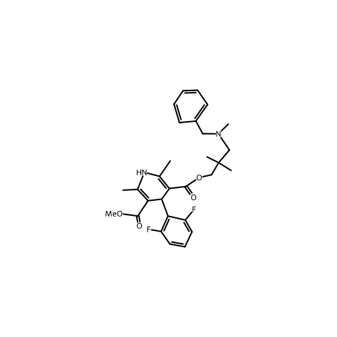 COC(=O)C1=C(C)NC(C)=C(C(=O)OCC(C)(C)CN(C)Cc2ccccc2)C1c1c(F)cccc1F